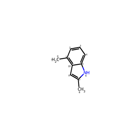 [CH2]c1cccc2[nH]c(C)cc12